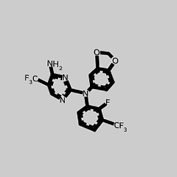 Nc1nc(N(c2ccc3c(c2)OCO3)c2cccc(C(F)(F)F)c2F)ncc1C(F)(F)F